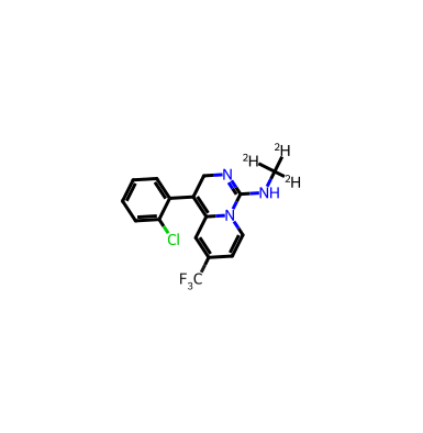 [2H]C([2H])([2H])NC1=NCC(c2ccccc2Cl)=C2C=C(C(F)(F)F)C=CN12